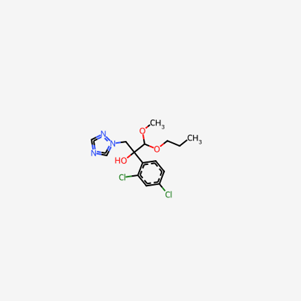 CCCOC(OC)C(O)(Cn1cncn1)c1ccc(Cl)cc1Cl